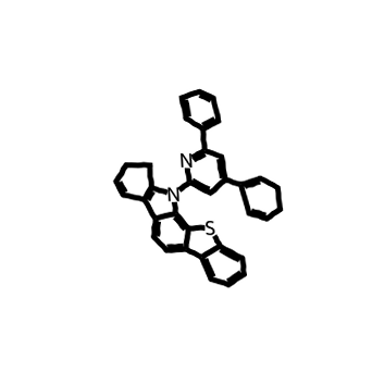 C1=CC(c2cc(-c3ccccc3)nc(-n3c4c(c5ccc6c7ccccc7sc6c53)C=CCC4)c2)=CCC1